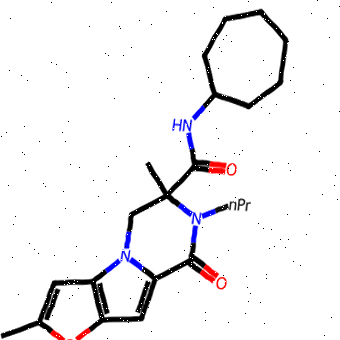 CCCN1C(=O)c2cc3oc(C)cc3n2CC1(C)C(=O)NC1CCCCCC1